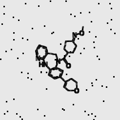 CON=C1CCC(C(=O)N2Cc3cccnc3Nc3ccc(C4=CCOCC4)cc32)CC1